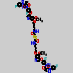 COc1cc2c(Oc3ccc(NC(=O)C4(C(=O)Nc5ccc(F)cc5)CC4)cc3F)ccnc2cc1OCCCCCNC(=O)CSSCC(=O)NCCCCCOc1cc2nccc(Oc3ccc(NC(=O)C4(C(=O)Nc5ccc(F)cc5)CC4)cc3F)c2cc1OC